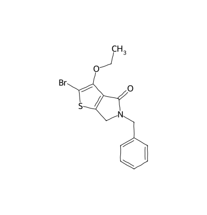 CCOc1c(Br)sc2c1C(=O)N(Cc1ccccc1)C2